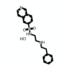 Cl.O=S(=O)(NCCNCCc1ccccc1)c1ccc2cnccc2c1